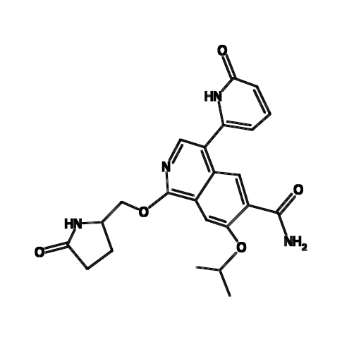 CC(C)Oc1cc2c(OCC3CCC(=O)N3)ncc(-c3cccc(=O)[nH]3)c2cc1C(N)=O